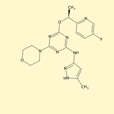 Cc1cc(Nc2nc(O[C@@H](C)c3ccc(F)cn3)nc(N3CCOCC3)n2)n[nH]1